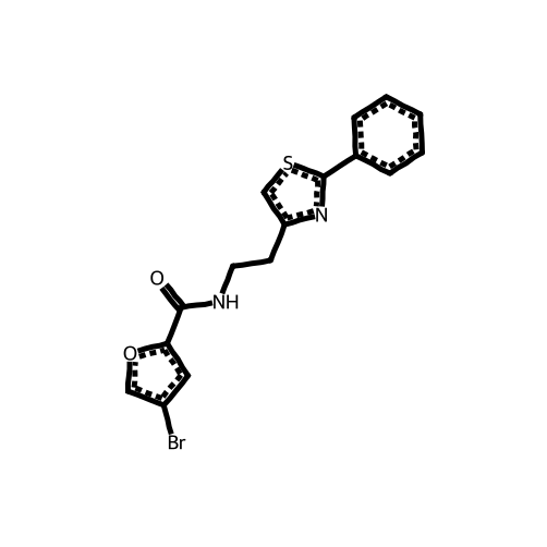 O=C(NCCc1csc(-c2ccccc2)n1)c1cc(Br)co1